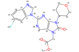 COC(=O)Cn1c(=O)n(C2CCOCC2)c2nc(-n3cnc4ccc(F)cc43)ncc21